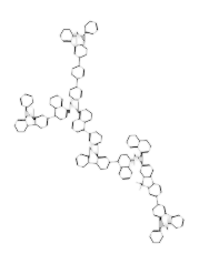 CC1(C)c2cc(-c3ccc4c(c3)c3ccccc3n4-c3ccccc3)ccc2-c2ccc(N(c3cccc4ccccc34)c3ccc(-c4ccc5c6ccccc6n(-c6cccc(-c7cccc8c(N(c9ccc(-c%10ccc(-c%11ccc%12c(c%11)c%11ccccc%11n%12-c%11ccccc%11)cc%10)cc9)c9ccc(-c%10ccc%11c%12ccccc%12n(-c%12ccccc%12)c%11c%10)c%10ccccc9%10)cccc78)c6)c5c4)c4ccccc34)cc21